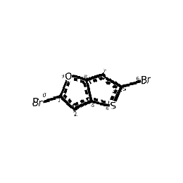 Brc1cc2sc(Br)cc2o1